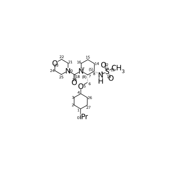 CC(C)C1CCC(OC[C@H]2[C@@H](NS(C)(=O)=O)CCCN2C(=O)N2CCOCC2)CC1